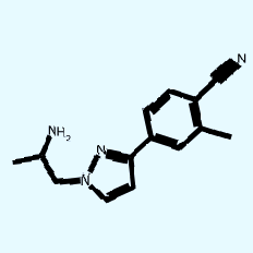 Cc1cc(-c2ccn(CC(C)N)n2)ccc1C#N